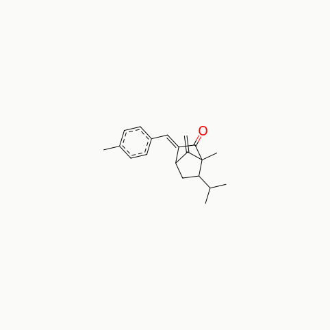 C=C1C2CC(C(C)C)C1(C)C(=O)/C2=C/c1ccc(C)cc1